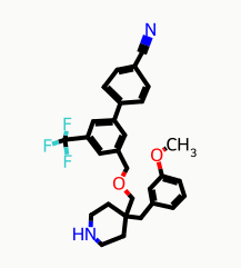 COc1cccc(CC2(COCc3cc(-c4ccc(C#N)cc4)cc(C(F)(F)F)c3)CCNCC2)c1